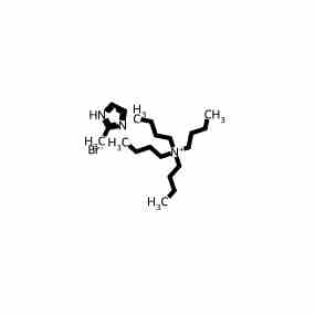 CCCC[N+](CCCC)(CCCC)CCCC.Cc1ncc[nH]1.[Br-]